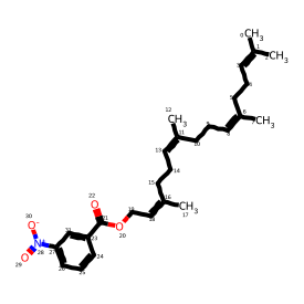 CC(C)=CCCC(C)=CCCC(C)=CCCC(C)=CCOC(=O)c1cccc([N+](=O)[O-])c1